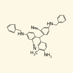 Cc1cc(C(c2ccc(NCc3ccccc3)cc2C#N)c2ccc(NCc3ccccc3)cc2C#N)ccc1N